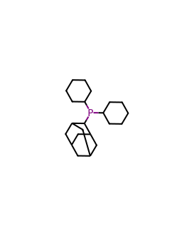 C1CCC(P(C2CCCCC2)C2C3CC4CC(C3)CC2C4)CC1